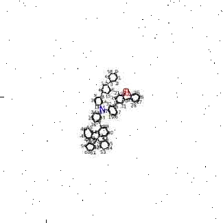 c1ccc(-c2ccc(-c3cccc(N(c4cccc(-c5ccc6oc7ccccc7c6c5)c4)c4cccc(-c5cccc6c5-c5ccccc5C6(c5ccccc5)c5ccccc5)c4)c3)cc2)cc1